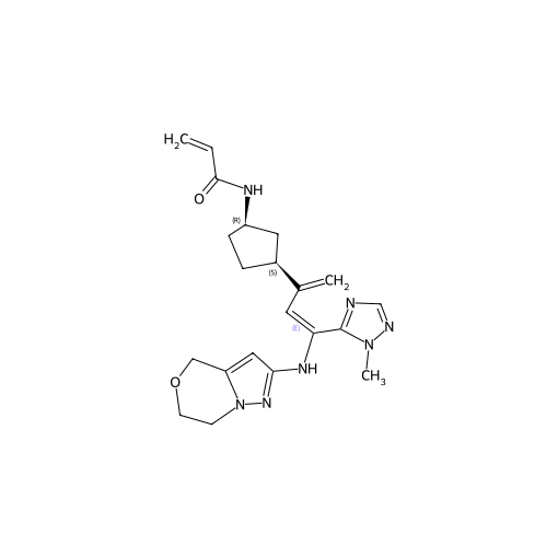 C=CC(=O)N[C@@H]1CC[C@H](C(=C)/C=C(/Nc2cc3n(n2)CCOC3)c2ncnn2C)C1